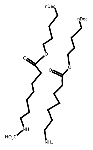 CCCCCCCCCCCCCCOC(=O)CCCCCCN.CCCCCCCCCCCCCCOC(=O)CCCCCCNC(=O)O